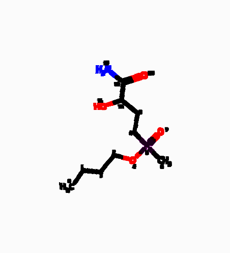 CCCCOP(C)(=O)CCC(O)C(N)=O